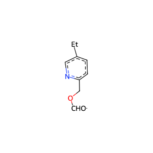 CCc1ccc(CO[C]=O)nc1